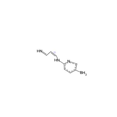 Bc1ccc(N/C=C\C=N)nc1